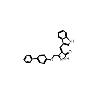 O=C1NN=C(COc2ccc(-c3ccccc3)cc2)/C1=C/c1c[nH]c2ccccc12